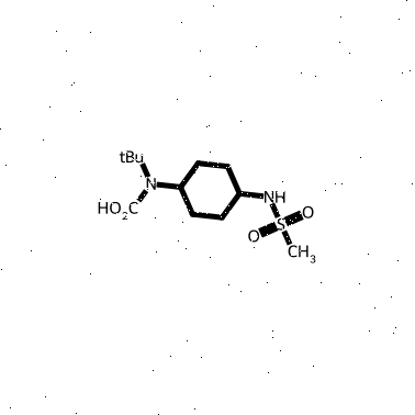 CC(C)(C)N(C(=O)O)C1CCC(NS(C)(=O)=O)CC1